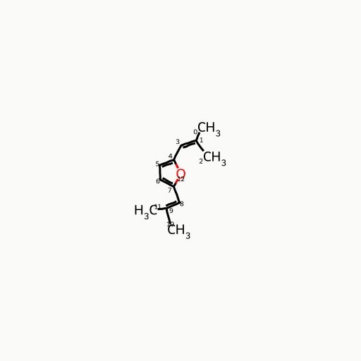 CC(C)=Cc1ccc(C=C(C)C)o1